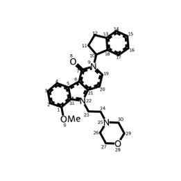 COc1cccc2c3c(=O)n(C4CCc5ccccc54)ccc3n(CCN3CCOCC3)c12